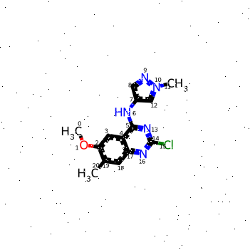 COc1cc2c(Nc3cnn(C)c3)nc(Cl)nc2cc1C